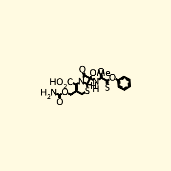 COC1(NC(=O)C(=S)Oc2ccccc2)C(=O)N2C(C(=O)O)=C(COC(N)=O)CS[C@H]21